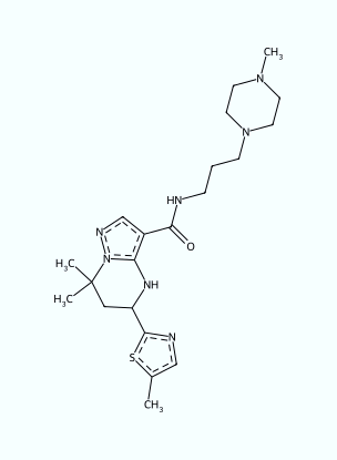 Cc1cnc(C2CC(C)(C)n3ncc(C(=O)NCCCN4CCN(C)CC4)c3N2)s1